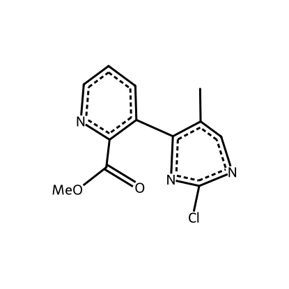 COC(=O)c1ncccc1-c1nc(Cl)ncc1C